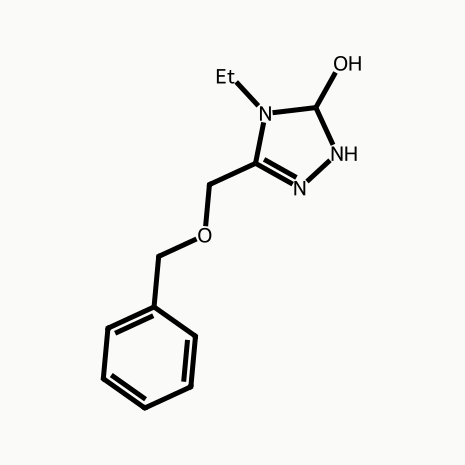 CCN1C(COCc2ccccc2)=NNC1O